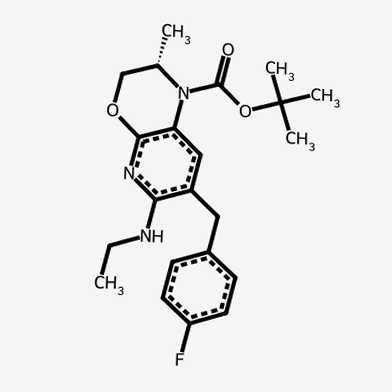 CCNc1nc2c(cc1Cc1ccc(F)cc1)N(C(=O)OC(C)(C)C)[C@@H](C)CO2